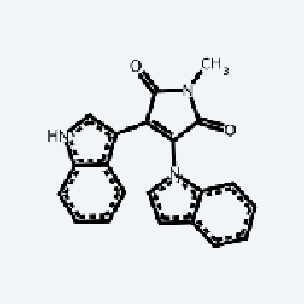 CN1C(=O)C(c2c[nH]c3ccccc23)=C(n2ccc3ccccc32)C1=O